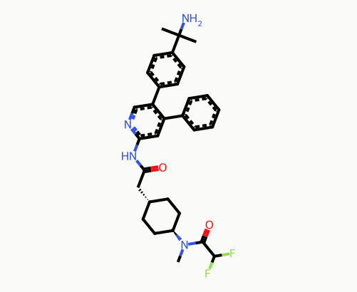 CN(C(=O)C(F)F)[C@H]1CC[C@H](CC(=O)Nc2cc(-c3ccccc3)c(-c3ccc(C(C)(C)N)cc3)cn2)CC1